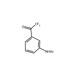 CC(=O)Nc1cccc(C(=O)C(F)(F)F)c1